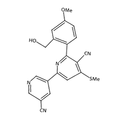 COc1ccc(-c2nc(-c3cncc(C#N)c3)cc(SC)c2C#N)c(CO)c1